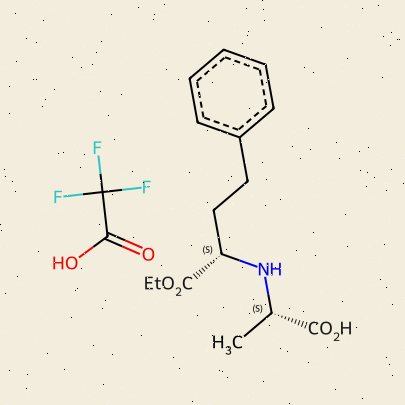 CCOC(=O)[C@H](CCc1ccccc1)N[C@@H](C)C(=O)O.O=C(O)C(F)(F)F